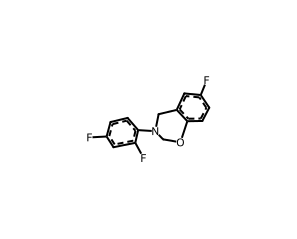 Fc1ccc(N2COc3ccc(F)cc3C2)c(F)c1